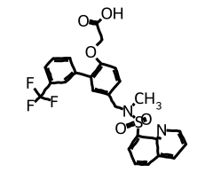 CN(Cc1ccc(OCC(=O)O)c(-c2cccc(C(F)(F)F)c2)c1)S(=O)(=O)c1cccc2cccnc12